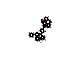 C1=Cc2ccccc2C2(c3ccccc31)c1ccccc1-c1cc(-c3ccc(N(c4ccc(-c5ccccc5)cc4)c4cccc5oc6ccccc6c45)cc3)ccc12